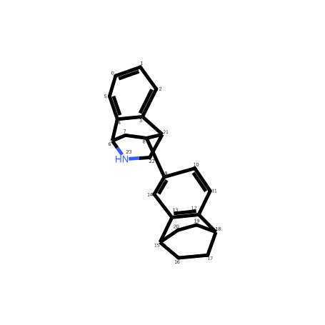 c1ccc2c(c1)C1CC(c3ccc4c(c3)C3CCC4CC3)C2CN1